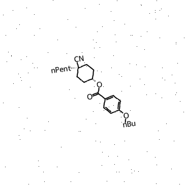 CCCCC[C@]1(C#N)CC[C@H](OC(=O)c2ccc(OCCCC)cc2)CC1